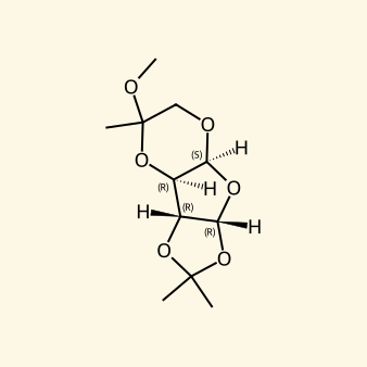 COC1(C)CO[C@H]2O[C@@H]3OC(C)(C)O[C@@H]3[C@H]2O1